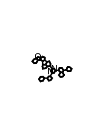 c1ccc(-c2cccc(-c3cc(-c4ccc(-c5ccccc5)c5ccccc45)nc(-c4ccc5c6c(cccc46)-c4c-5ccc5oc6ccccc6c45)n3)c2)cc1